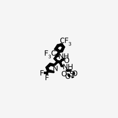 CS(=O)(=O)CC(=O)NCC1=C(c2ccc(C(F)F)cn2)C[C@@](c2ccc(C(F)(F)F)cc2)(C(F)(F)F)NC1=O